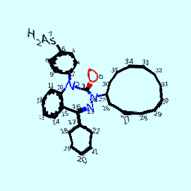 O=C1N(c2ccc([AsH2])cc2)c2ccccc2C(C2CCCCC2)=NN1C1CCCCCCCCCCC1